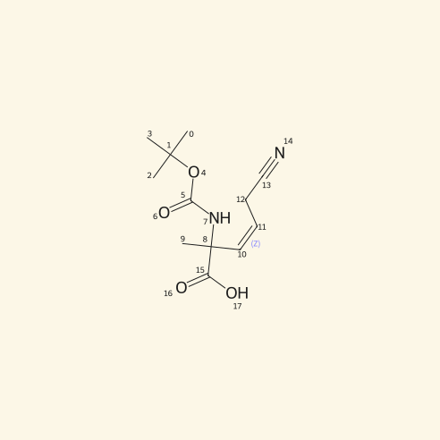 CC(C)(C)OC(=O)NC(C)(/C=C\CC#N)C(=O)O